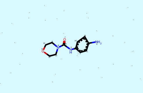 Nc1ccc(NC(=O)N2CCOCC2)cc1